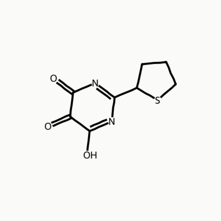 O=C1N=C(C2CCCS2)N=C(O)C1=O